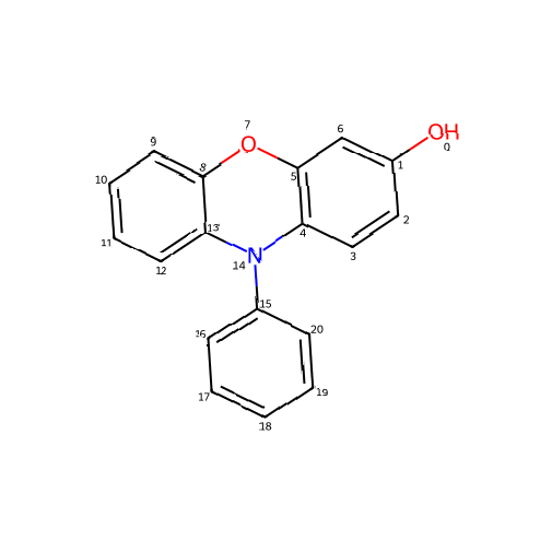 Oc1ccc2c(c1)Oc1ccccc1N2c1ccccc1